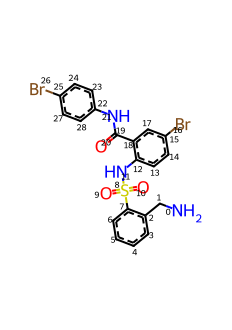 NCc1ccccc1S(=O)(=O)Nc1ccc(Br)cc1C(=O)Nc1ccc(Br)cc1